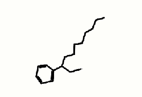 [CH2]CC(CCCCCCCC)c1ccccc1